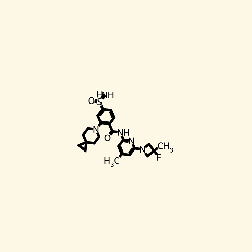 Cc1cc(NC(=O)c2ccc([SH](=N)=O)cc2N2CCC3(CC2)CC3)nc(N2CC(C)(F)C2)c1